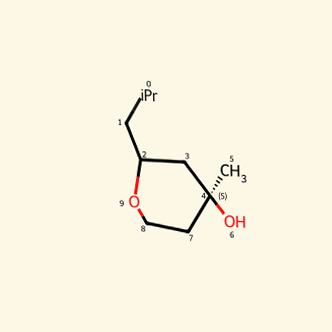 CC(C)CC1C[C@@](C)(O)CCO1